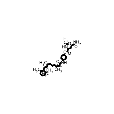 CC(=O)NC(CCC(N)=O)C(=O)Oc1ccc(NC(=O)C=C(C)C=CC=C(C)C=CC2=C(C)CCCC2(C)C)cc1.Cl